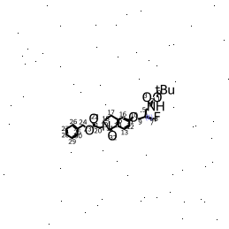 CC(C)(C)OC(=O)NC/C(=C\F)COc1ccc2c(c1)CCN(CC(=O)OCc1ccccc1)C2=O